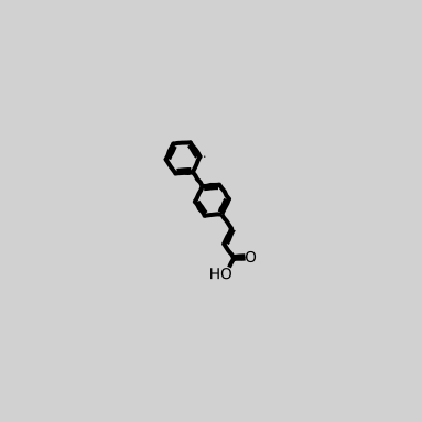 O=C(O)C=Cc1ccc(-c2[c]cccc2)cc1